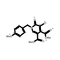 COC(=O)c1cn(Cc2ccc(OC)cc2)c(=O)c(Cl)c1C(=O)OC